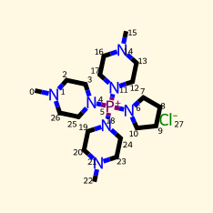 CN1CCN([P+](N2CCCC2)(N2CCN(C)CC2)N2CCN(C)CC2)CC1.[Cl-]